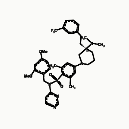 COc1ccc(CN(c2ccncn2)S(=O)(=O)c2c(C)cc(N3CCC[C@](CCc4cccc(C(F)(F)F)c4)(N(C)C)C3)cc2C)c(OC)c1